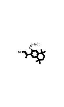 CCCCCCCOc1cc2c(cc1C(C)=CC#N)C(C)(C)CCC2(C)C